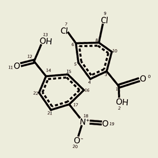 O=C(O)c1ccc(Cl)c(Cl)c1.O=C(O)c1ccc([N+](=O)[O-])cc1